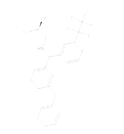 O[C@H](CNC(c1cccc(Oc2ccccc2)c1)c1cccc(C(F)(F)C(F)(F)C(F)(F)F)c1)C(F)(F)F